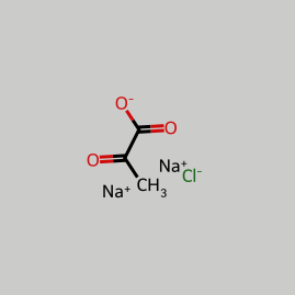 CC(=O)C(=O)[O-].[Cl-].[Na+].[Na+]